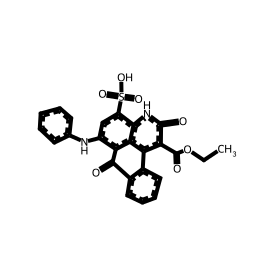 CCOC(=O)c1c2c3c(c(Nc4ccccc4)cc(S(=O)(=O)O)c3[nH]c1=O)C(=O)c1ccccc1-2